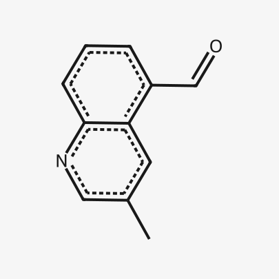 Cc1cnc2cccc(C=O)c2c1